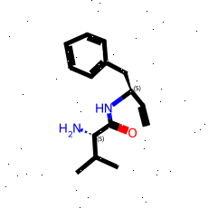 C=C[C@H](Cc1ccccc1)NC(=O)[C@@H](N)C(C)C